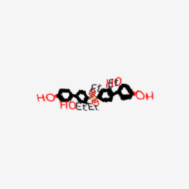 CCc1c(-c2ccc(O)cc2O)ccc(S(=O)(=O)c2ccc(-c3ccc(O)cc3O)c(CC)c2CC)c1CC